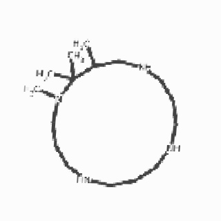 CC1CNCCCNCCCNCCCN(C)C1(C)C